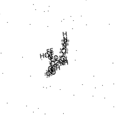 O=C(O)C(F)(F)F.O=C(c1c(F)ccc(NS(=O)(=O)N2CCCC2)c1F)c1c[nH]c2ncc(-c3ccc(N4CC5(CNC5)C4)cc3)cc12